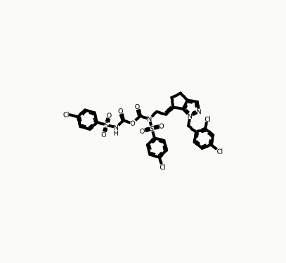 O=C(NS(=O)(=O)c1ccc(Cl)cc1)OC(=O)N(C/C=C1\CCc2cnn(Cc3ccc(Cl)cc3Cl)c21)S(=O)(=O)c1ccc(Cl)cc1